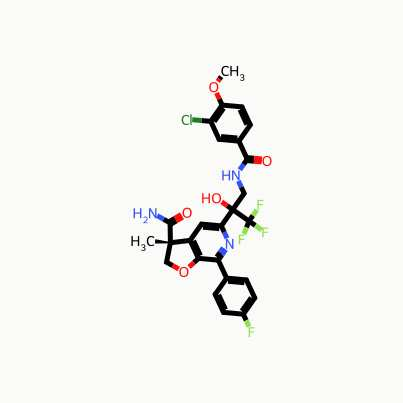 COc1ccc(C(=O)NCC(O)(c2cc3c(c(-c4ccc(F)cc4)n2)OC[C@]3(C)C(N)=O)C(F)(F)F)cc1Cl